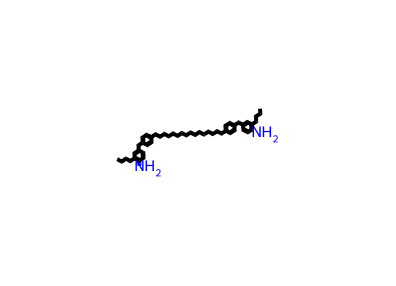 CCCCc1cc(Cc2ccc(CCCCCCCCCCCCCCCCc3ccc(Cc4ccc(N)c(CCCC)c4)cc3)cc2)ccc1N